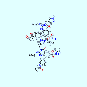 CO/N=c1\[nH]c2c(-c3ccc(C(=O)C4(N)CC4)cc3)cc(S(=O)(=O)NC3(C)CC3)cc2c(=O)n1Cc1cnn(CC2CC2(C)NS(=O)(=O)c2cc(-c3ccc(C4(O)CCC4=O)cc3)c3[nH]/c(=N\OC)n(Cc4cnn(C)c4)c(=O)c3c2)c1